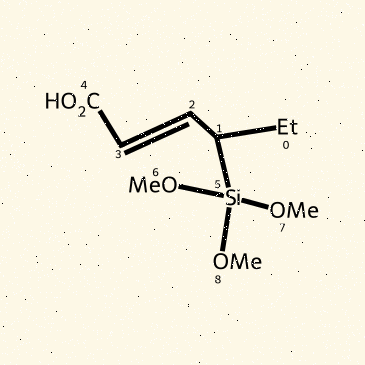 CCC(C=CC(=O)O)[Si](OC)(OC)OC